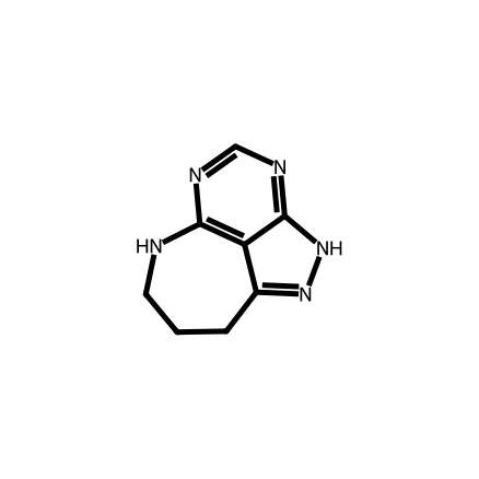 c1nc2c3c(n[nH]c3n1)CCCN2